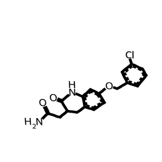 NC(=O)CC1Cc2ccc(OCc3cccc(Cl)c3)cc2NC1=O